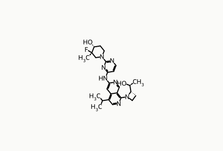 CC(C)c1cnc(N2CC[C@H]2[C@H](C)O)c2cnc(Nc3ccnc(N4CC[C@@H](O)[C@@](C)(F)C4)n3)cc12